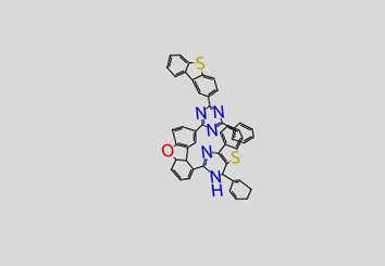 C1=CC2Oc3ccc(-c4nc(-c5ccccc5)nc(-c5ccc6sc7ccccc7c6c5)n4)cc3C2C(C2=Nc3c(sc4ccccc34)C(C3=CCCC=C3)N2)=C1